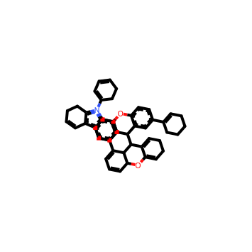 C1=CCCC(n2c3c(c4c2CCC=C4)CC(C2=CC=CC4OC5=CCCC=C5C(C5c6ccccc6Oc6ccc(C7=CCCCC7)cc65)C24)C=C3)=C1